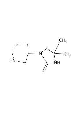 CC1(C)CN(C2CCCNC2)C(=O)N1